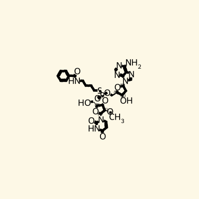 CO[C@H]1C(OP(=O)(OC[C@H]2O[C@@H](n3cnc4c(N)ncnc43)C[C@H]2O)SCCCCNC(=O)c2ccccc2)[C@@H](CO)O[C@H]1n1ccc(=O)[nH]c1=O